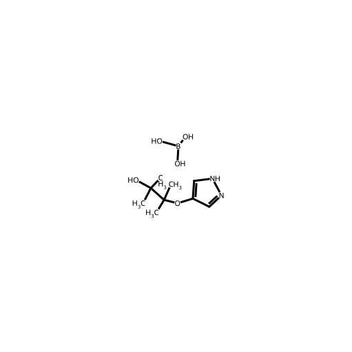 CC(C)(O)C(C)(C)Oc1cn[nH]c1.OB(O)O